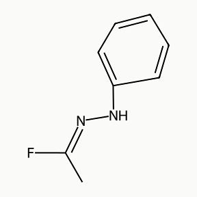 C/C(F)=N\Nc1ccccc1